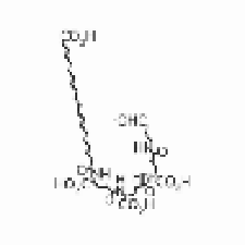 O=[C]CCCNC(=O)CC[C@H](NC(=O)CC[C@H](NC(=O)CC[C@H](NC(=O)CCCCCCCCCCCCCCCCCCC(=O)O)C(=O)O)C(=O)O)C(=O)O